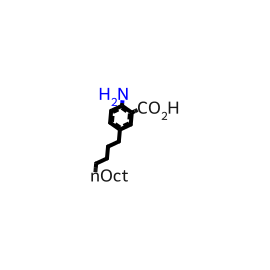 CCCCCCCCCCCCc1ccc(N)c(C(=O)O)c1